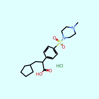 CN1CCN(S(=O)(=O)c2ccc(C(CC3CCCC3)C(=O)O)cc2)CC1.Cl